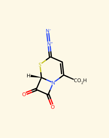 [N-]=[N+]=C1C=C(C(=O)O)N2C(=O)C(=O)[C@@H]2S1